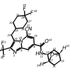 CC(F)(F)c1nc2cc(C(=O)N[C@H]3C[C@@H]4CC[C@H]3O4)cc(C#N)n2c1CC1CCC(F)(F)CC1